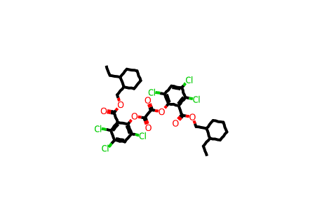 CCC1CCCCC1COC(=O)c1c(Cl)c(Cl)cc(Cl)c1OC(=O)C(=O)Oc1c(Cl)cc(Cl)c(Cl)c1C(=O)OCC1CCCCC1CC